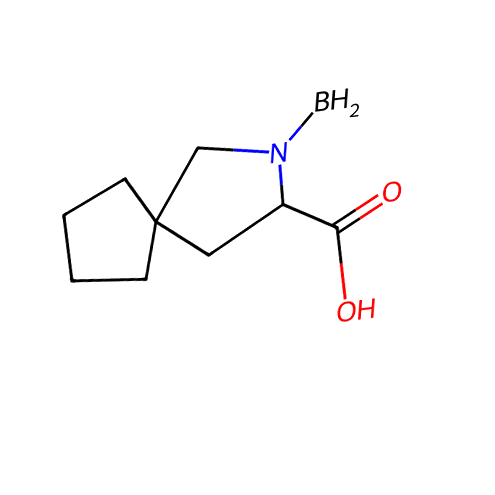 BN1CC2(CCCC2)CC1C(=O)O